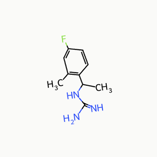 Cc1cc(F)ccc1C(C)NC(=N)N